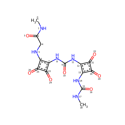 CNC(=O)CNc1c(NC(=O)Nc2c(NC(=O)NC)c(=O)c2=O)c(=O)c1=O